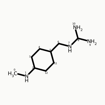 CNC1CCC(CNC(N)N)CC1